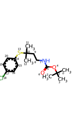 CC(C)(C)OC(=O)NCCC(C)(C)Sc1ccc(Cl)cc1